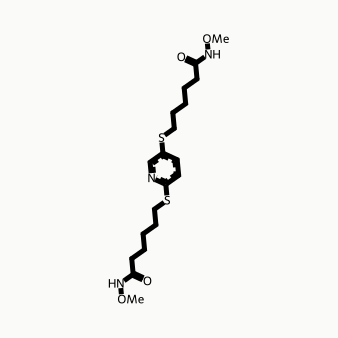 CONC(=O)CCCCCSc1ccc(SCCCCCC(=O)NOC)nc1